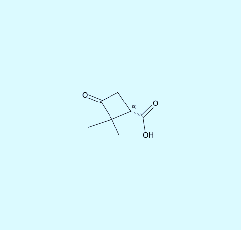 CC1(C)C(=O)C[C@@H]1C(=O)O